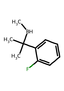 CBC(C)(C)c1ccccc1F